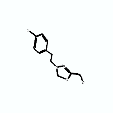 ClCC1=NN(CCc2ccc(Cl)cc2)CO1